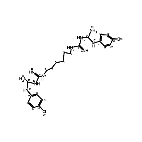 N=C(NCCCCCCNC(=N)NC(N)Nc1ccc(Cl)cc1)NC(N)Nc1ccc(Cl)cc1